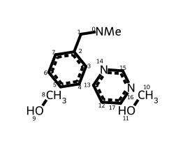 CNCc1ccccc1.CO.CO.c1cncnc1